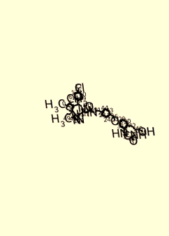 Cc1sc2c(c1C)C(c1ccc(Cl)cc1)=N[C@@H](CC(=O)NCc1ccc(COc3ccc4c(c3)NCC(=O)N[C@H](CO)C4)cc1)c1nnc(C)n1-2